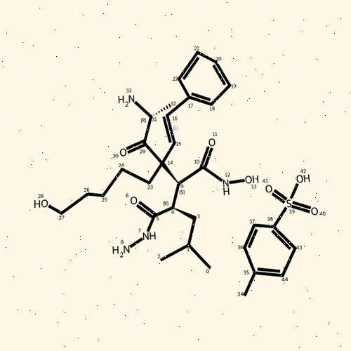 CC(C)C[C@@H](C(=O)NN)[C@H](C(=O)NO)C(/C=C/c1ccccc1)(CCCCCO)C(=O)[C@@H](C)N.Cc1ccc(S(=O)(=O)O)cc1